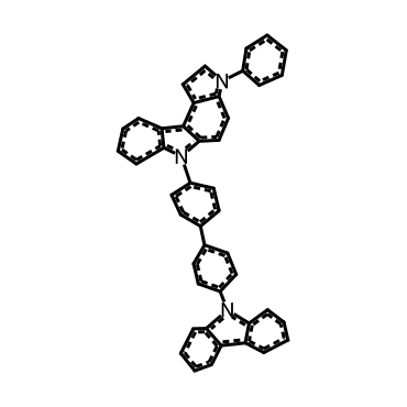 c1ccc(-n2ccc3c4c5ccccc5n(-c5ccc(-c6ccc(-n7c8ccccc8c8ccccc87)cc6)cc5)c4ccc32)cc1